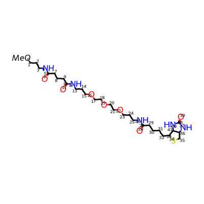 COCCCNC(=O)CCCC(=O)NCCCOCCOCCOCCCNC(=O)CCCCC1SCC2NC(=O)NC21